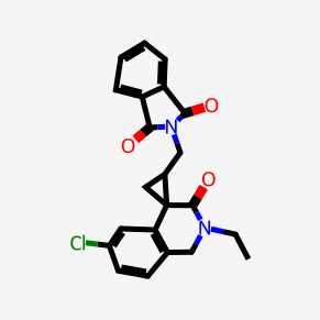 CCN1Cc2ccc(Cl)cc2C2(CC2CN2C(=O)c3ccccc3C2=O)C1=O